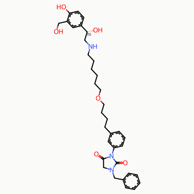 O=C1CN(Cc2ccccc2)C(=O)N1c1cccc(CCCCOCCCCCCNC[C@@H](O)c2ccc(O)c(CO)c2)c1